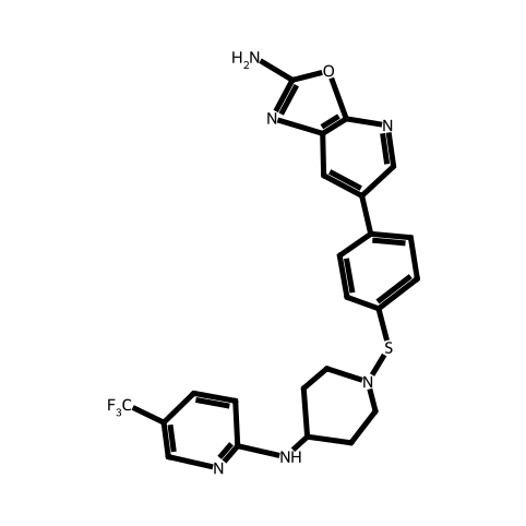 Nc1nc2cc(-c3ccc(SN4CCC(Nc5ccc(C(F)(F)F)cn5)CC4)cc3)cnc2o1